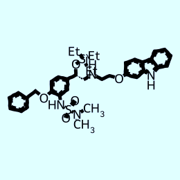 CC[Si](CC)(CC)O[C@H](CNCCOc1ccc2c(c1)[nH]c1ccccc12)c1ccc(OCc2ccccc2)c(NS(=O)(=O)N(C)C)c1